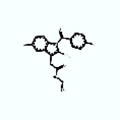 Cc1ccc2c(c1)c(CC(=O)NCC(C)(C)C)c(C(F)(F)F)n2C(=O)c1ccc(Cl)cc1